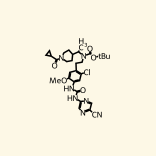 COc1cc(CCN(C(=O)OC(C)(C)C)C(C)C2CCN(C(=O)C3CC3)CC2)c(Cl)cc1NC(=O)Nc1cnc(C#N)cn1